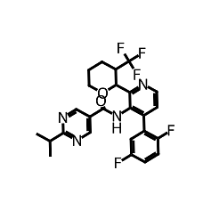 CC(C)c1ncc(C(=O)Nc2c(-c3cc(F)ccc3F)ccnc2C2OCCCC2C(F)(F)F)cn1